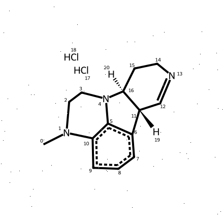 CN1CCN2c3c(cccc31)[C@H]1C=NCC[C@@H]12.Cl.Cl